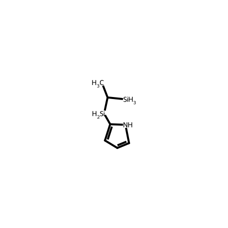 CC([SiH3])[SiH2]c1ccc[nH]1